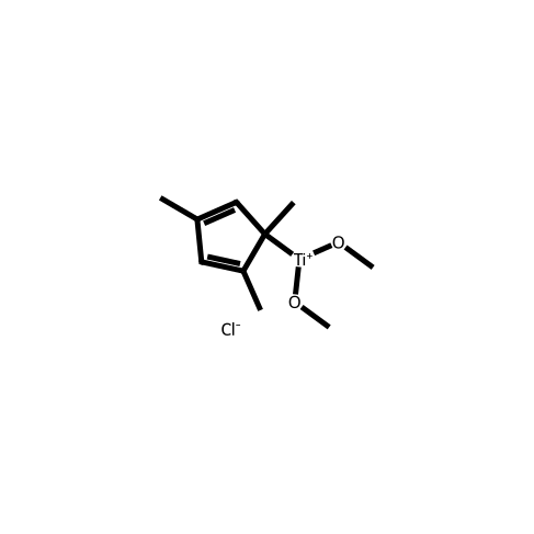 C[O][Ti+]([O]C)[C]1(C)C=C(C)C=C1C.[Cl-]